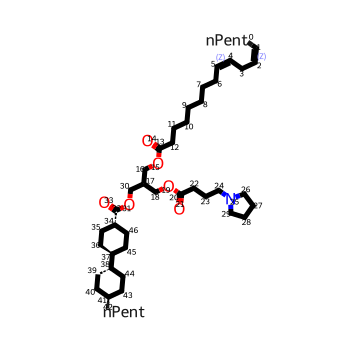 CCCCC/C=C\C/C=C\CCCCCCCC(=O)OCC(COC(=O)CCCN1CCCC1)COC(=O)[C@H]1CC[C@H]([C@H]2CC[C@H](CCCCC)CC2)CC1